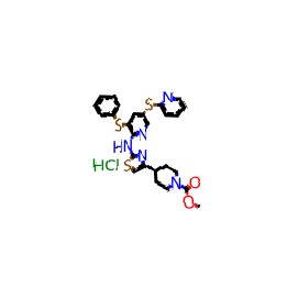 COC(=O)N1CCC(c2csc(Nc3ncc(Sc4ccccn4)cc3Sc3ccccc3)n2)CC1.Cl